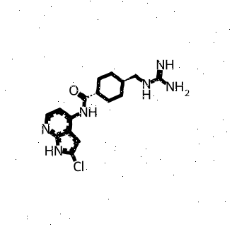 N=C(N)NC[C@H]1CC[C@H](C(=O)Nc2ccnc3[nH]c(Cl)cc23)CC1